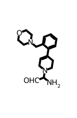 NC(C=O)N1CC=C(c2ccccc2CN2CCOCC2)CC1